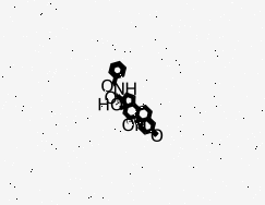 CC12C=CC(=O)C=C1CCC1C2[C@@H](O)CC2(C)C1CC[C@]2(O)C(=O)NC(=O)c1ccccc1